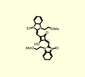 CCN1/C(=C/C2=C(O)C(=C\c3n(CC)c4c([n+]3CCOC)=CCCC=4)/C2=O)N(CCOC)C2C=CC=CC21